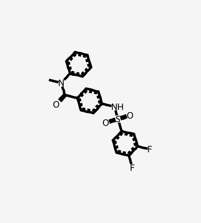 CN(C(=O)c1ccc(NS(=O)(=O)c2ccc(F)c(F)c2)cc1)c1ccccc1